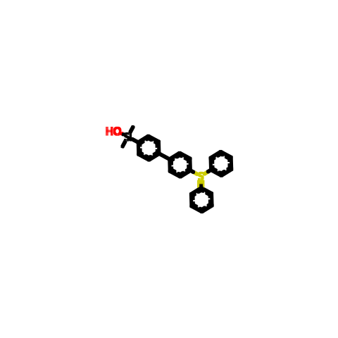 C[Si](C)(O)c1ccc(-c2ccc([SH](c3ccccc3)c3ccccc3)cc2)cc1